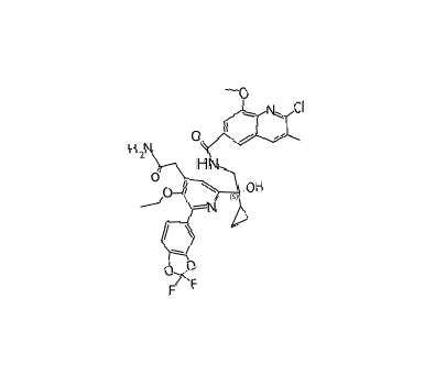 CCOc1c(CC(N)=O)cc([C@@](O)(CNC(=O)c2cc(OC)c3nc(Cl)c(C)cc3c2)C2CC2)nc1-c1ccc2c(c1)OC(F)(F)O2